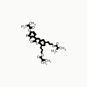 C=C(C)C(=O)OCCCc1cc(CCCOC(=O)C(=C)C)c2oc(=O)c(-c3ccc(OC(=O)C(=C)C)c(F)c3F)cc2c1